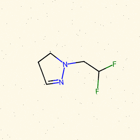 FC(F)CN1[CH]C[C]=N1